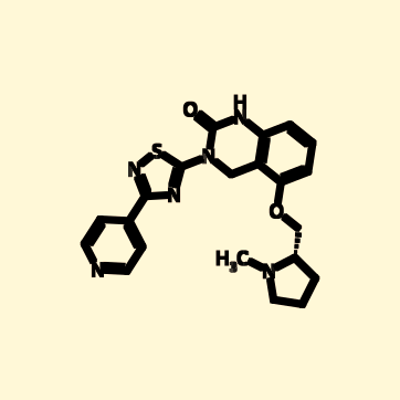 CN1CCC[C@H]1COc1cccc2c1CN(c1nc(-c3ccncc3)ns1)C(=O)N2